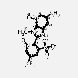 CCS(=O)(=O)c1cc(C(F)(F)F)c[n+]([O-])c1-c1nc2cc(C)c[n+]([O-])c2n1C